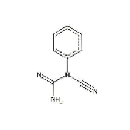 N#CN(C(=N)N)c1ccccc1